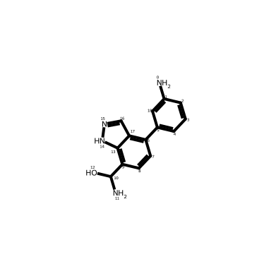 Nc1cccc(-c2ccc(C(N)O)c3[nH]ncc23)c1